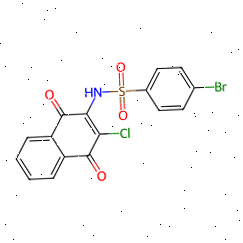 O=C1C(Cl)=C(NS(=O)(=O)c2ccc(Br)cc2)C(=O)c2ccccc21